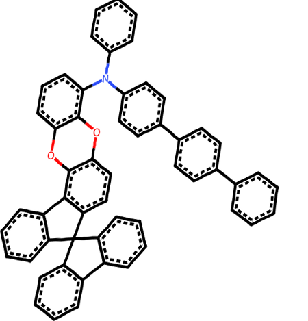 c1ccc(-c2ccc(-c3ccc(N(c4ccccc4)c4cccc5c4Oc4ccc6c(c4O5)-c4ccccc4C64c5ccccc5-c5ccccc54)cc3)cc2)cc1